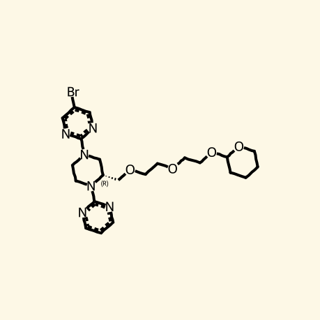 Brc1cnc(N2CCN(c3ncccn3)[C@@H](COCCOCCOC3CCCCO3)C2)nc1